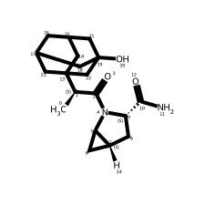 C[C@H](C(=O)N1C2C[C@H]2C[C@H]1C(N)=O)C12CC3CC(CC(O)(C3)C1)C2